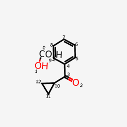 O=C(O)O.O=C(c1ccccc1)C1CC1